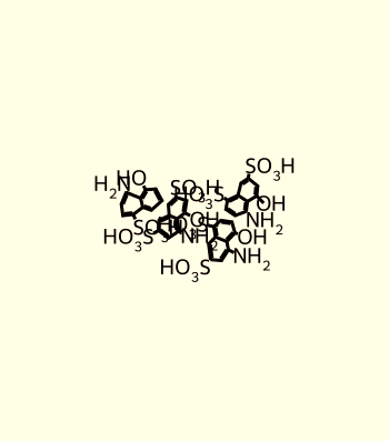 Nc1cc(S(=O)(=O)O)cc2c(S(=O)(=O)O)ccc(O)c12.Nc1cc(S(=O)(=O)O)cc2cc(S(=O)(=O)O)cc(O)c12.Nc1ccc(S(=O)(=O)O)c2cc(S(=O)(=O)O)cc(O)c12.Nc1ccc(S(=O)(=O)O)c2cccc(O)c12